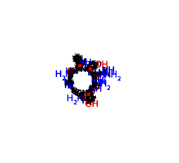 N=C(N)NCCC[C@H]1NC(=O)[C@@H](Cc2ccc(O)cc2)NC(=O)[C@@H](Cc2c[nH]c3ccccc23)NC(=O)[C@@H](N)Cc2cn(nn2)CCCC[C@@H](C(N)=O)NC(=O)[C@@H](Cc2ccc(O)cc2)NC(=O)[C@@H](N)NC1=O